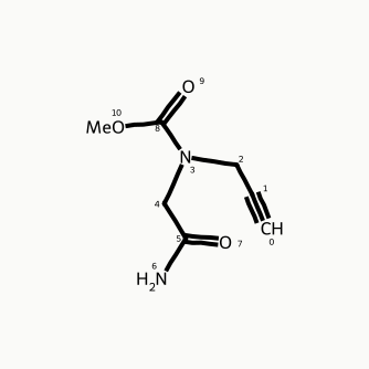 C#CCN(CC(N)=O)C(=O)OC